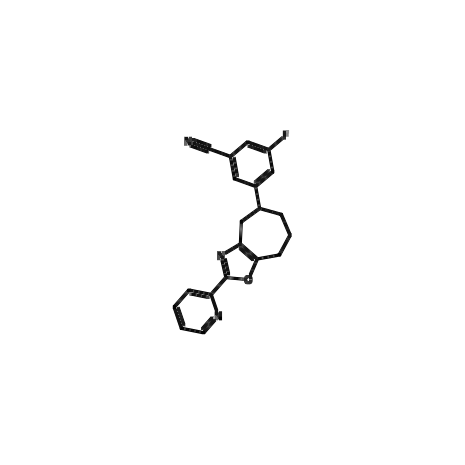 N#Cc1cc(F)cc(C2CCCc3oc(-c4ccccn4)nc3C2)c1